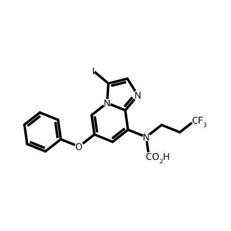 O=C(O)N(CCC(F)(F)F)c1cc(Oc2ccccc2)cn2c(I)cnc12